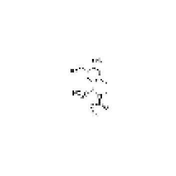 Cc1cc2c(cc1CO)C(C(=O)O)N(C(=O)OC(C)(C)C)CC2